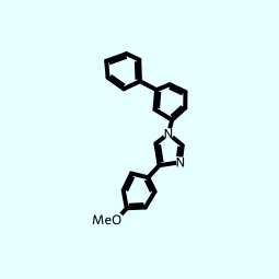 COc1ccc(-c2cn(-c3cccc(-c4ccccc4)c3)cn2)cc1